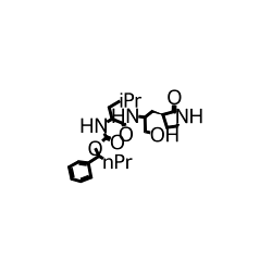 CCCC(OC(=O)NC(CC(C)C)C(=O)NC(CO)C[C@@H]1CCNC1=O)c1ccccc1